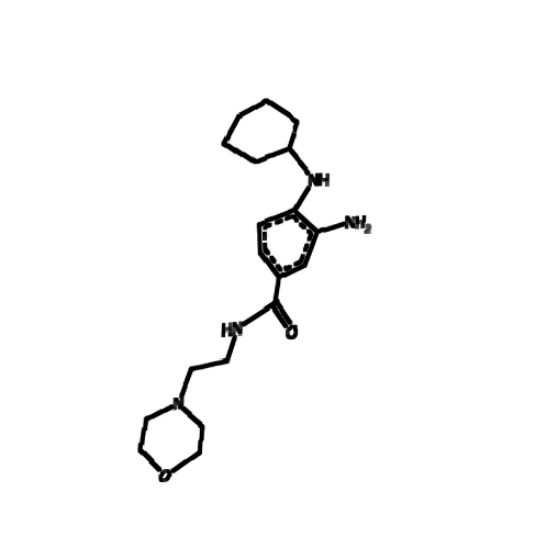 Nc1cc(C(=O)NCCN2CCOCC2)ccc1NC1CCCCC1